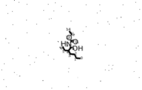 CCCCC(CC)C(O)NC(=O)OCC